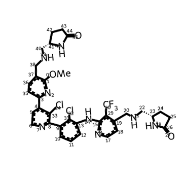 COc1nc(-c2ccnc(-c3cccc(Nc4nccc(CNC[C@@H]5CCC(=O)N5)c4C(F)(F)F)c3Cl)c2Cl)ccc1CNC[C@@H]1CCC(=O)N1